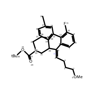 COCCC/C=C(\c1cccc(F)c1-c1cccc(C)c1)C1CN(C(=O)OC(C)(C)C)CCO1